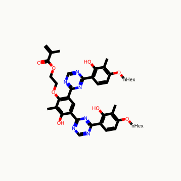 C=C(C)C(=O)OCCOc1c(-c2ncnc(-c3ccc(OCCCCCC)c(C)c3O)n2)cc(-c2ncnc(-c3ccc(OCCCCCC)c(C)c3O)n2)c(O)c1C